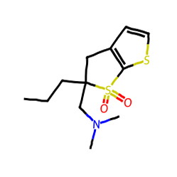 CCCC1(CN(C)C)Cc2ccsc2S1(=O)=O